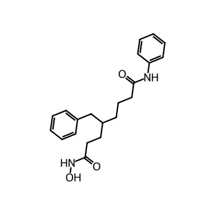 O=C(CCC(CCCC(=O)Nc1ccccc1)Cc1ccccc1)NO